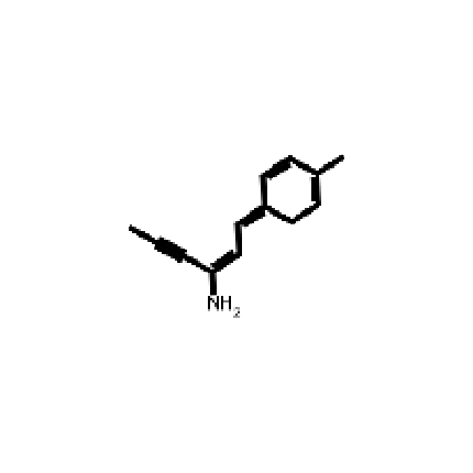 CC#C/C(N)=C\C=C1\C=CC(C)=CC1